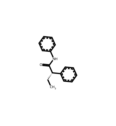 CC[C@H](C(=O)Nc1ccccc1)c1ccccc1